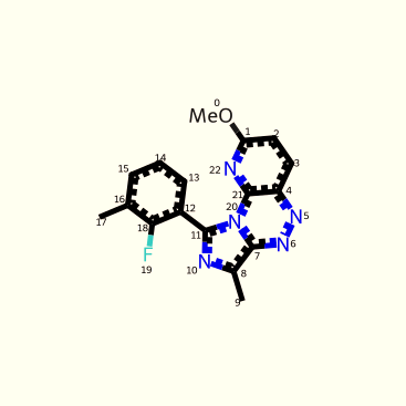 COc1ccc2nnc3c(C)nc(-c4cccc(C)c4F)n3c2n1